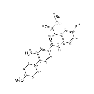 COC1CCN(c2ccc(C(=O)Nc3ccc(F)cc3CC(=O)OC(C)(C)C)cc2N)CC1